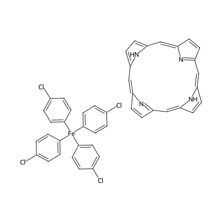 C1=Cc2cc3ccc(cc4nc(cc5ccc(cc1n2)[nH]5)C=C4)[nH]3.Clc1cc[c]([Fe]([c]2ccc(Cl)cc2)([c]2ccc(Cl)cc2)[c]2ccc(Cl)cc2)cc1